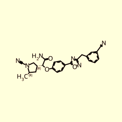 C[C@@H]1C[C@@H](C(Oc2ccc(-c3nc(Cc4cccc(C#N)c4)no3)cc2)C(N)=O)CN1C#N